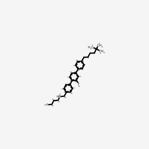 CC(C)(C)CCCCc1ccc(-c2ccc(-c3ccc(CNCCCF)cc3)c(F)c2)cc1